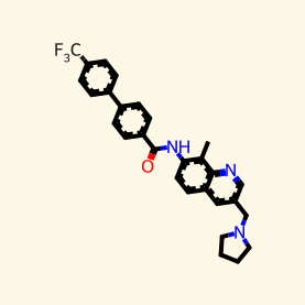 Cc1c(NC(=O)c2ccc(-c3ccc(C(F)(F)F)cc3)cc2)ccc2cc(CN3CCCC3)cnc12